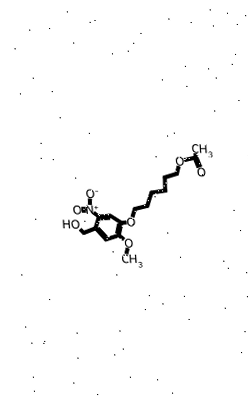 COc1cc(CO)c([N+](=O)[O-])cc1OCCCCCCOC(C)=O